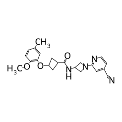 COc1ccc(C)cc1OC1CC(C(=O)NC2CN(c3cc(C#N)ccn3)C2)C1